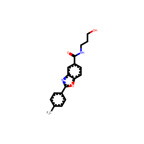 O=C(NCCCO)c1ccc2oc(-c3ccc(C(F)(F)F)cc3)nc2c1